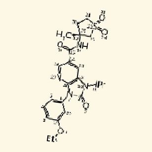 CCOc1cccc(-n2c(=O)n(C(C)C)c3cc(C(=O)N[C@]4(C)CCS(=O)(=O)C4)cnc32)c1